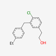 CCc1ccc(Cc2cc(CCO)ccc2Cl)cc1